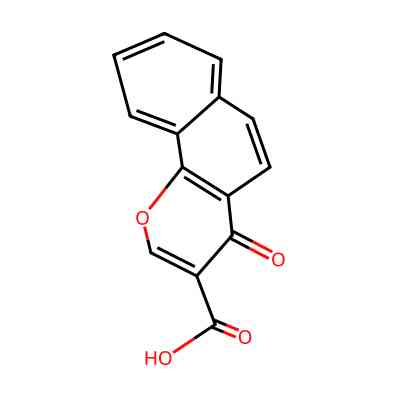 O=C(O)c1coc2c(ccc3ccccc32)c1=O